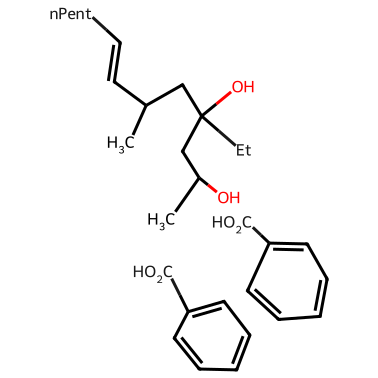 CCCCCC=CC(C)CC(O)(CC)CC(C)O.O=C(O)c1ccccc1.O=C(O)c1ccccc1